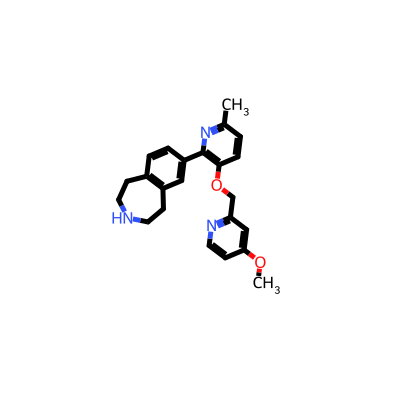 COc1ccnc(COc2ccc(C)nc2-c2ccc3c(c2)CCNCC3)c1